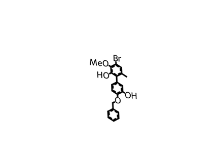 COc1c(Br)cc(C)c(-c2ccc(OCc3ccccc3)c(O)c2)c1O